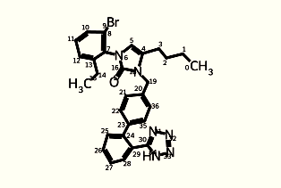 CCCCc1cn(-c2c(Br)cccc2CC)c(=O)n1Cc1ccc(-c2ccccc2-c2nnn[nH]2)cc1